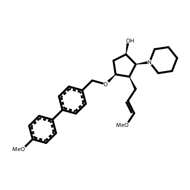 COC=CC[C@@H]1[C@H](N2CCCCC2)[C@H](O)C[C@@H]1OCc1ccc(-c2ccc(OC)cc2)cc1